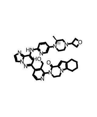 C[C@H]1CN(C2COC2)CCN1c1ccc(Nc2cc(-c3ccnc(N4CCn5c(cc6c5CCCC6)C4=O)c3CO)nn3ccnc23)nc1